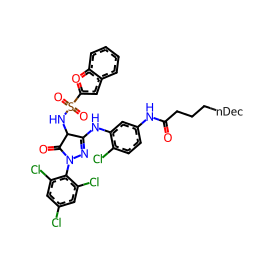 CCCCCCCCCCCCCC(=O)Nc1ccc(Cl)c(NC2=NN(c3c(Cl)cc(Cl)cc3Cl)C(=O)C2NS(=O)(=O)c2cc3ccccc3o2)c1